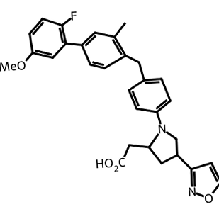 COc1ccc(F)c(-c2ccc(Cc3ccc(N4CC(c5ccon5)CC4CC(=O)O)cc3)c(C)c2)c1